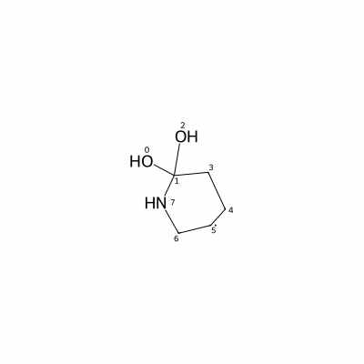 OC1(O)CC[CH]CN1